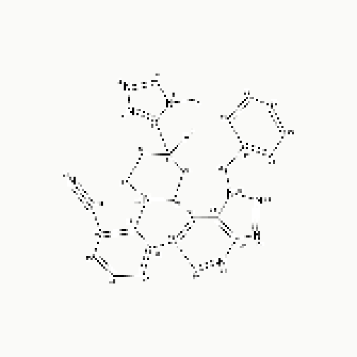 Cn1cnnc1C1(F)CCN(c2c(C#N)cccc2-c2cnc3nnn(Cc4ccccc4)c3c2)CC1